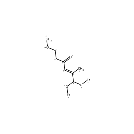 CCOC(OCC)C(C)=CC(=O)CCO[SiH3]